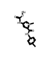 Cc1ccc(NC(=O)c2cc(NC(=O)OC(C)(C)C)cn2C)cc1